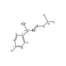 Cc1ccc([S+]([O-])N=CCC(C)C)cc1